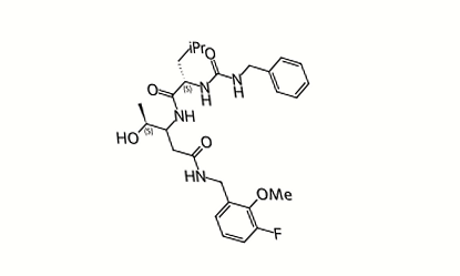 COc1c(F)cccc1CNC(=O)CC(NC(=O)[C@H](CC(C)C)NC(=O)NCc1ccccc1)[C@H](C)O